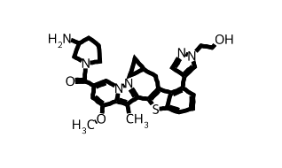 COc1cc(C(=O)N2CCCC(N)C2)cn2nc(-c3sc4cccc(-c5cnn(CCO)c5)c4c3CC3CC3)c(C)c12